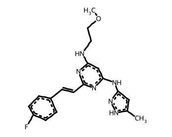 COCCNc1cc(Nc2cc(C)[nH]n2)nc(/C=C/c2ccc(F)cc2)n1